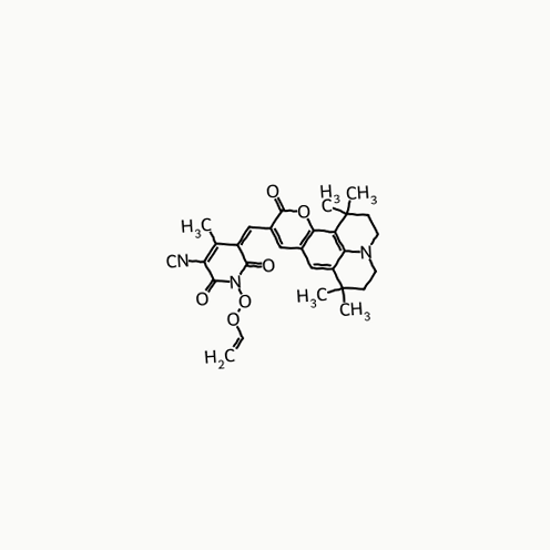 [C-]#[N+]C1=C(C)/C(=C/c2cc3cc4c5c(c3oc2=O)C(C)(C)CCN5CCC4(C)C)C(=O)N(OOC=C)C1=O